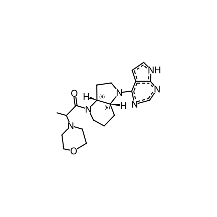 CC(C(=O)N1CCC[C@@H]2[C@H]1CCN2c1ncnc2[nH]ccc12)N1CCOCC1